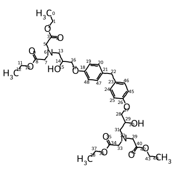 CCOC(=O)CN(CC(=O)OCC)CC(O)COc1ccc(Cc2ccc(OCC(O)CN(CC(=O)OCC)CC(=O)OCC)cc2)cc1